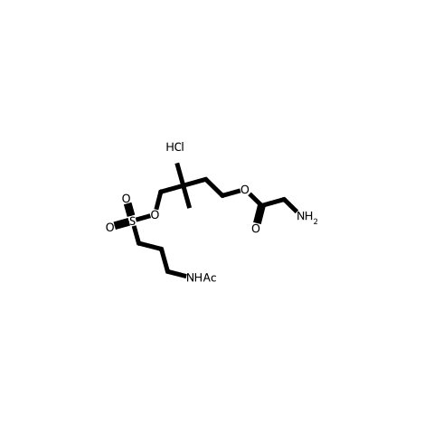 CC(=O)NCCCS(=O)(=O)OCC(C)(C)CCOC(=O)CN.Cl